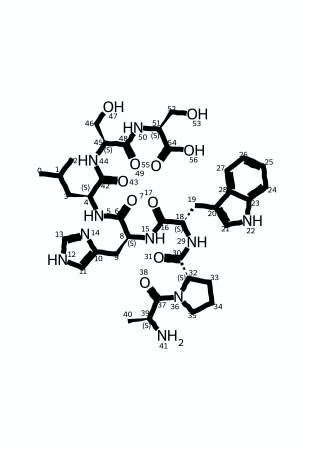 CC(C)C[C@H](NC(=O)[C@H](Cc1c[nH]cn1)NC(=O)[C@H](Cc1c[nH]c2ccccc12)NC(=O)[C@@H]1CCCN1C(=O)[C@H](C)N)C(=O)N[C@@H](CO)C(=O)N[C@@H](CO)C(=O)O